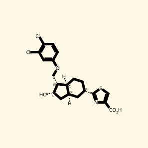 O=C(O)c1csc([C@H]2CC[C@H]3[C@@H](C2)C[C@H](O)[C@@H]3COc2ccc(Cl)c(Cl)c2)n1